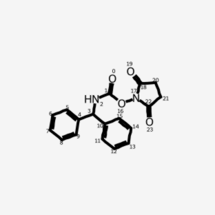 O=C(NC(c1ccccc1)c1ccccc1)ON1C(=O)CCC1=O